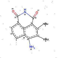 CCCCc1c(CCCC)c2c3c(cccc3c1N)C(=O)NC2=O